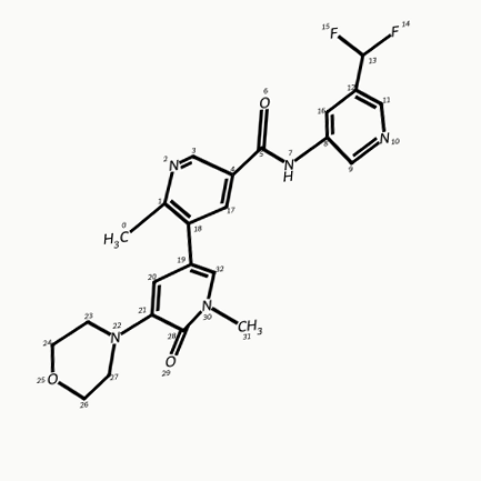 Cc1ncc(C(=O)Nc2cncc(C(F)F)c2)cc1-c1cc(N2CCOCC2)c(=O)n(C)c1